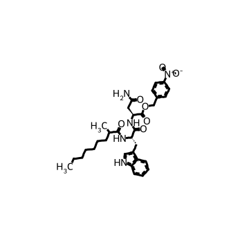 CCCCCCCC(C)C(=O)N[C@@H](Cc1c[nH]c2ccccc12)C(=O)N[C@@H](CC(N)=O)C(=O)OCc1ccc([N+](=O)[O-])cc1